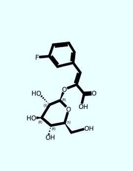 O=C(O)C(=Cc1cccc(F)c1)O[C@H]1O[C@@H](CO)[C@H](O)[C@@H](O)[C@@H]1O